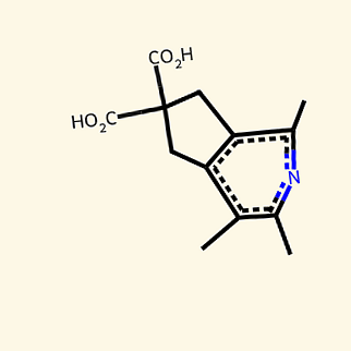 Cc1nc(C)c2c(c1C)CC(C(=O)O)(C(=O)O)C2